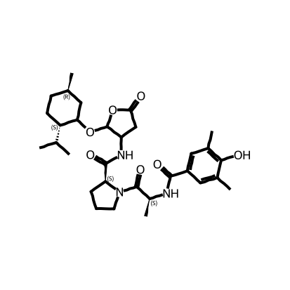 Cc1cc(C(=O)N[C@@H](C)C(=O)N2CCC[C@H]2C(=O)NC2CC(=O)OC2OC2C[C@H](C)CC[C@H]2C(C)C)cc(C)c1O